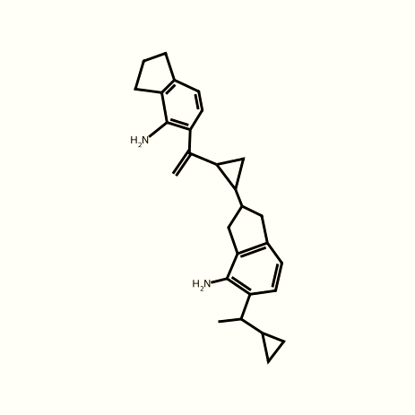 C=C(c1ccc2c(c1N)CCC2)C1CC1C1Cc2ccc(C(C)C3CC3)c(N)c2C1